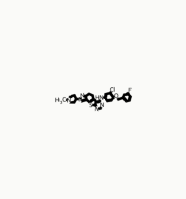 CN1CCC(n2cc3c(n2)CCc2c-3sc3ncnc(Nc4ccc(OCc5cccc(F)c5)c(Cl)c4)c23)CC1